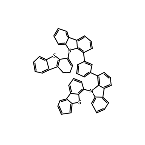 C1=C(n2c3ccccc3c3cccc(-c4cccc(-c5cccc6c7ccccc7n(-c7cccc8c7sc7ccccc78)c56)c4)c32)c2sc3ccccc3c2CC1